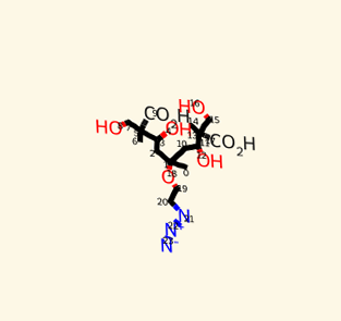 CC(CC(O)C(C)(CO)C(=O)O)(CC(O)C(C)(CO)C(=O)O)OCCN=[N+]=[N-]